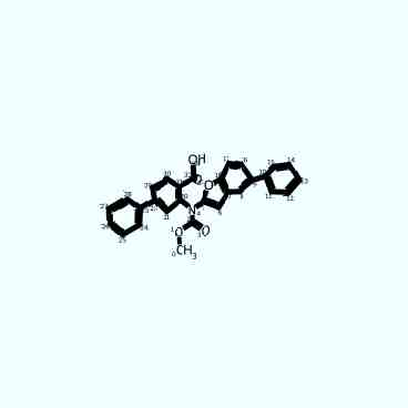 COC(=O)N(c1cc2cc(-c3ccccc3)ccc2o1)c1cc(-c2ccccc2)ccc1C(=O)O